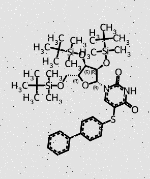 CC(C)(C)[Si](C)(C)OC[C@H]1O[C@@H](n2cc(Sc3ccc(-c4ccccc4)cc3)c(=O)[nH]c2=O)[C@H](O[Si](C)(C)C(C)(C)C)[C@@H]1O[Si](C)(C)C(C)(C)C